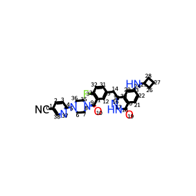 N#Cc1ccc(N2CCN(C(=O)c3cc(Cc4n[nH]c(=O)c5ccc(NC6CCC6)cc45)ccc3F)CC2)nc1